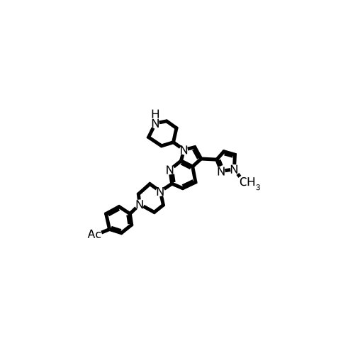 CC(=O)c1ccc(N2CCN(c3ccc4c(-c5ccn(C)n5)cn(C5CCNCC5)c4n3)CC2)cc1